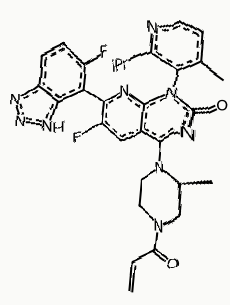 C=CC(=O)N1CCN(c2nc(=O)n(-c3c(C)ccnc3C(C)C)c3nc(-c4c(F)ccc5nn[nH]c45)c(F)cc23)[C@@H](C)C1